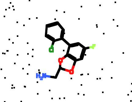 NCC1Oc2cc(F)cc(-c3ccccc3Cl)c2O1